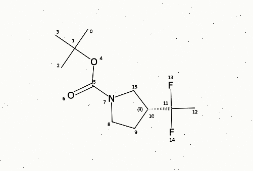 CC(C)(C)OC(=O)N1CC[C@@H](C(C)(F)F)C1